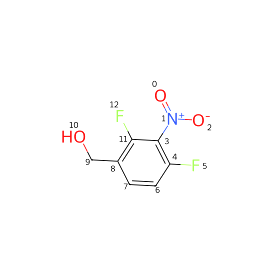 O=[N+]([O-])c1c(F)ccc(CO)c1F